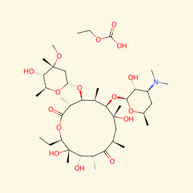 CCOC(=O)O.CC[C@H]1OC(=O)[C@H](C)[C@@H](O[C@H]2C[C@@](C)(OC)[C@@H](O)[C@H](C)O2)[C@@H](C)[C@@H](O[C@@H]2O[C@H](C)C[C@H](N(C)C)[C@H]2O)[C@](C)(O)C[C@@H](C)C(=O)[C@H](C)[C@H](O)[C@]1(C)O